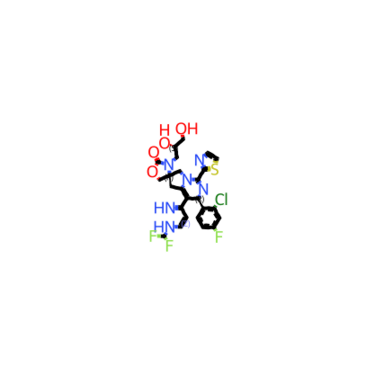 N=C(/C=C\NC(F)F)C1=C2C[C@]3(COC(=O)N3C[C@H](O)CO)CN2C(c2nccs2)=N[C@H]1c1ccc(F)cc1Cl